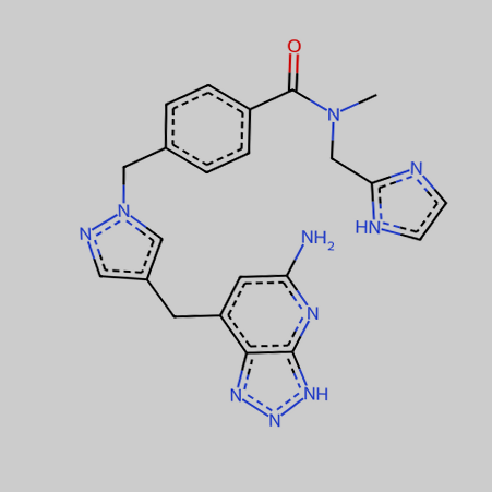 CN(Cc1ncc[nH]1)C(=O)c1ccc(Cn2cc(Cc3cc(N)nc4[nH]nnc34)cn2)cc1